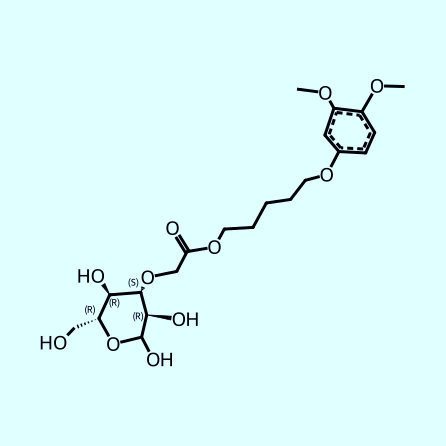 COc1ccc(OCCCCCOC(=O)CO[C@H]2[C@H](O)[C@@H](CO)OC(O)[C@@H]2O)cc1OC